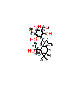 CC(C)C[C@H](c1c(O)c(C=O)c(O)c(C=O)c1O)[C@@H]1CC[C@@](C)(O)[C@@H]2[C@H]3[C@@H](CC[C@]21C)C3(C)C